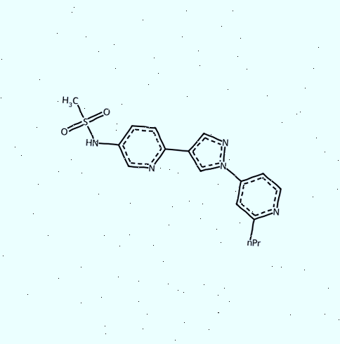 CCCc1cc(-n2cc(-c3ccc(NS(C)(=O)=O)cn3)cn2)ccn1